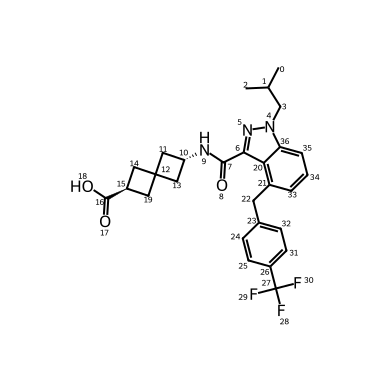 CC(C)Cn1nc(C(=O)N[C@H]2CC3(C2)C[C@H](C(=O)O)C3)c2c(Cc3ccc(C(F)(F)F)cc3)cccc21